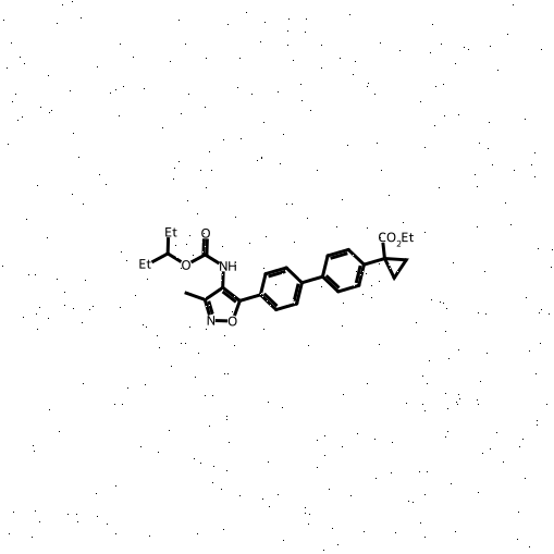 CCOC(=O)C1(c2ccc(-c3ccc(-c4onc(C)c4NC(=O)OC(CC)CC)cc3)cc2)CC1